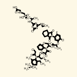 C#CC(C)Oc1cc(N2C(=O)C3=C(CCCC3)C2=O)c(F)cc1Cl.CC1COc2ccccc2N1C(=O)C(Cl)Cl.CCNc1nc(Cl)nc(NC(C)C)n1.CCc1cccc(C)c1N(C(=O)CCl)C(C)COC.C[S+](C)C.O=C(O)CNCP(=O)([O-])O